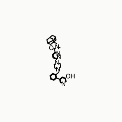 CN(CC12CC3CC(CC(C3)C1)C2)C(=O)c1ccc(N2CCN(Cc3ccccc3-c3cncc(O)c3)CC2)nn1